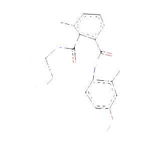 CSC[C@H](C)NC(=O)c1c(C)cccc1C(=O)Nc1ccc(OC(F)(F)F)cc1C